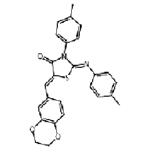 Cc1ccc(/N=C2\S/C(=C\c3ccc4c(c3)OCCO4)C(=O)N2c2ccc(C)cc2)cc1